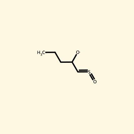 CCCC([O])C=S=O